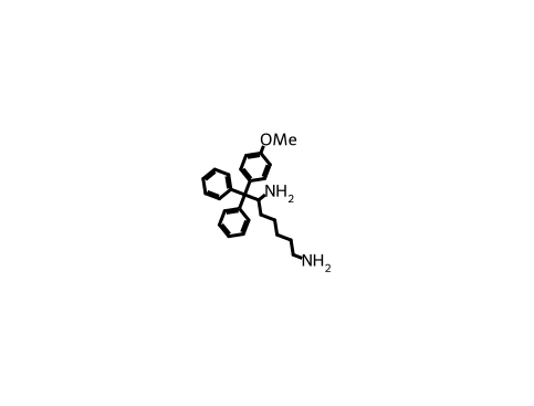 COc1ccc(C(c2ccccc2)(c2ccccc2)C(N)CCCCCN)cc1